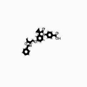 Cc1oc(-c2ccccc2)nc1COc1ccc2c(c1)C1(CC1)C(=O)N2c1ccc(C(=O)O)cc1